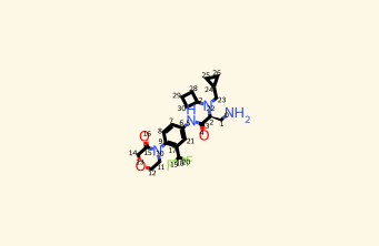 NC[C@@H](C(=O)Nc1ccc(N2CCOCC2=O)c(C(F)F)c1)N(CC1CC1)C1CCC1